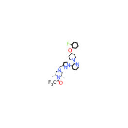 C[C@@H]1CN(Cc2ccn(-c3cccnc3N3CCC(Oc4ccccc4F)CC3)n2)C[C@H](C)N1C(=O)C(F)(F)F